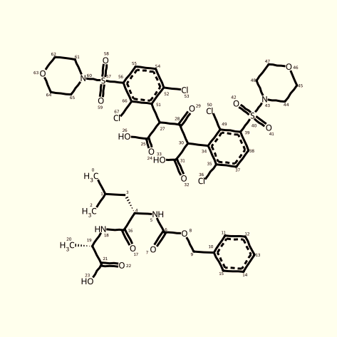 CC(C)C[C@H](NC(=O)OCc1ccccc1)C(=O)N[C@@H](C)C(=O)O.O=C(O)C(C(=O)C(C(=O)O)c1c(Cl)ccc(S(=O)(=O)N2CCOCC2)c1Cl)c1c(Cl)ccc(S(=O)(=O)N2CCOCC2)c1Cl